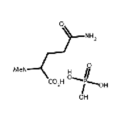 CNC(CCC(N)=O)C(=O)O.O=P(O)(O)O